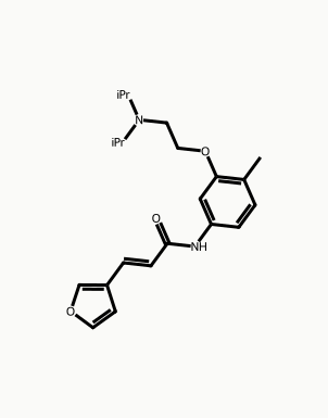 Cc1ccc(NC(=O)C=Cc2ccoc2)cc1OCCN(C(C)C)C(C)C